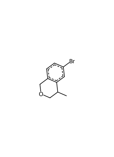 CC1COCc2ccc(Br)cc21